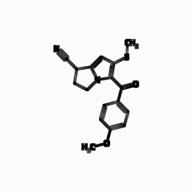 COc1ccc(C(=O)c2c(SC)cc3n2CCC3C#N)cc1